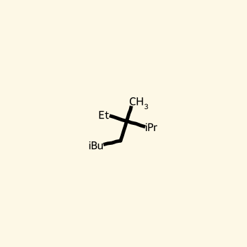 [CH2]C(C)C(C)(CC)CC(C)CC